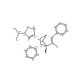 CC1=C(c2ccccc2)[P@]2C[C@@]1(C)[C@H](c1ccccc1)[C@@H]2C1=NC(C(C)C)CO1